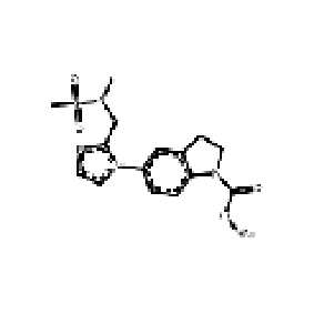 CN(Cc1nccn1-c1ccc2c(c1)CCN2C(=O)OC(C)(C)C)S(C)(=O)=O